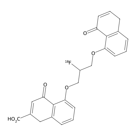 O=C(O)C1=CC(=O)c2c(cccc2OCC([18F])COc2cccc3c2C(=O)C=CC3)C1